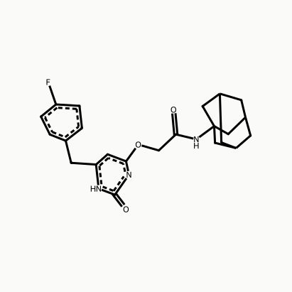 O=C(COc1cc(Cc2ccc(F)cc2)[nH]c(=O)n1)NC12CC3CC(CC(C3)C1)C2